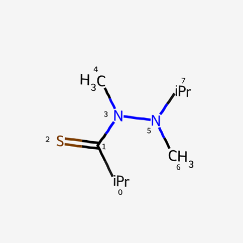 CC(C)C(=S)N(C)N(C)C(C)C